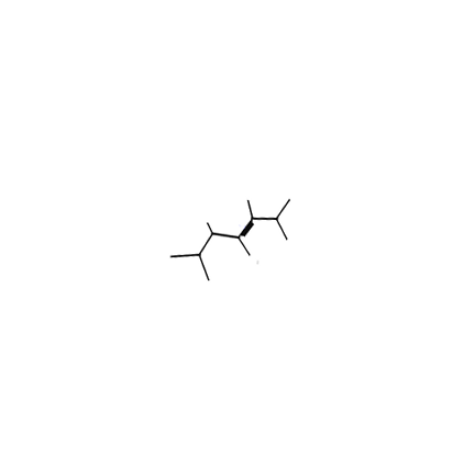 CC(O)/C(O)=C(\O)C(O)C(C)C